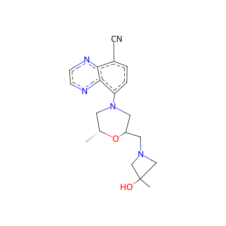 C[C@@H]1CN(c2ccc(C#N)c3nccnc23)CC(CN2CC(C)(O)C2)O1